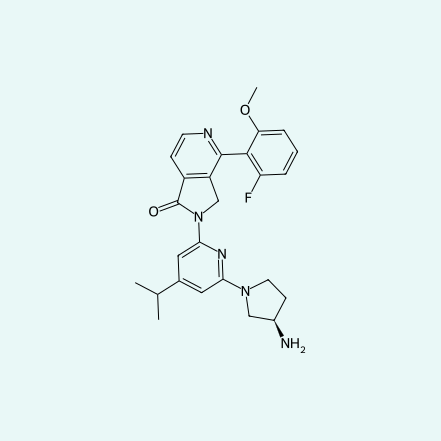 COc1cccc(F)c1-c1nccc2c1CN(c1cc(C(C)C)cc(N3CC[C@@H](N)C3)n1)C2=O